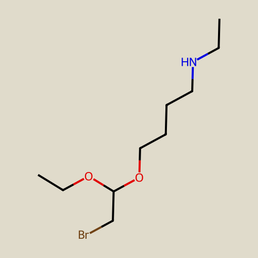 CCNCCCCOC(CBr)OCC